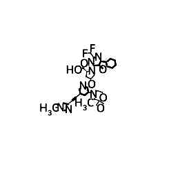 C[C@@H]1N(c2cc(C#Cc3cn(C)cn3)cnc2O[C@H]2C[C@@H](C(=O)O)N(c3nc(C(F)F)nc4c3oc3ccccc34)C2)CCOC12COC2